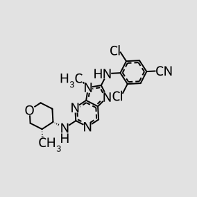 C[C@@H]1COCC[C@@H]1Nc1ncc2nc(Nc3c(Cl)cc(C#N)cc3Cl)n(C)c2n1